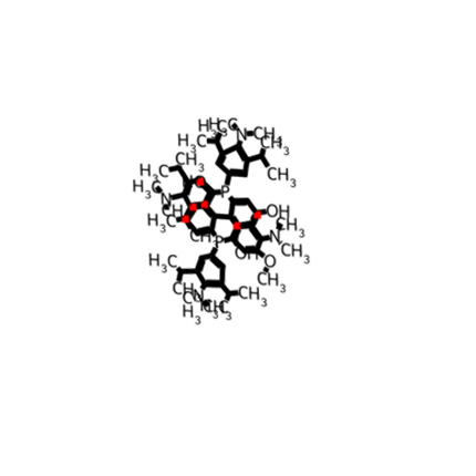 COc1cc(P(c2cc(C(C)C)c(N(C)C)c(C(C)C)c2)c2cccc(CO)c2-c2c(CO)cccc2P(c2cc(C(C)C)c(N(C)C)c(C(C)C)c2)c2cc(C(C)C)c(N(C)C)c(C(C)C)c2)cc(CO)c1N(C)C